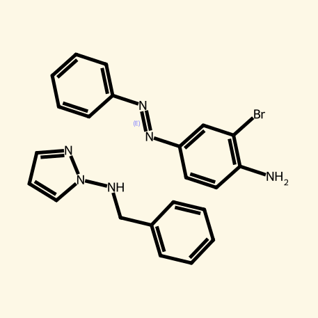 Nc1ccc(/N=N/c2ccccc2)cc1Br.c1ccc(CNn2cccn2)cc1